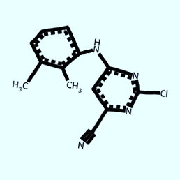 Cc1cccc(Nc2cc(C#N)nc(Cl)n2)c1C